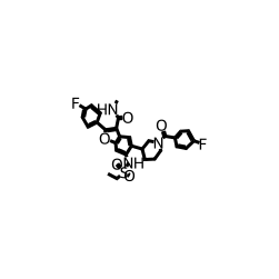 CCS(=O)(=O)Nc1cc2oc(-c3ccc(F)cc3)c(C(=O)NC)c2cc1C1CCCN(C(=O)c2ccc(F)cc2)C1